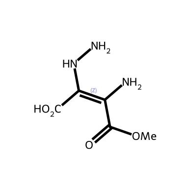 COC(=O)/C(N)=C(/NN)C(=O)O